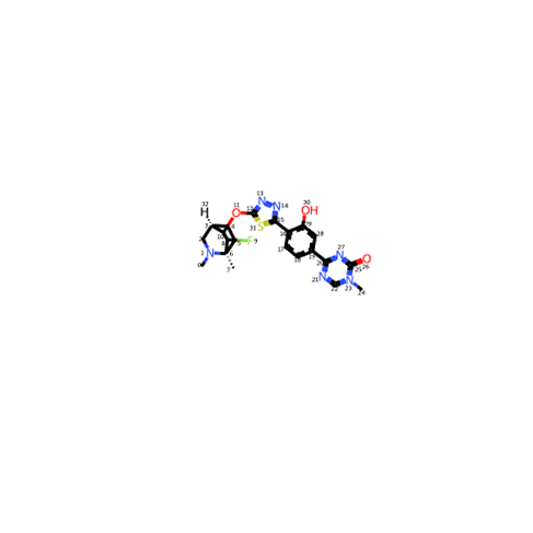 CN1C[C@H]2CC[C@]1(C)C(F)C2Oc1nnc(-c2ccc(-c3ncn(C)c(=O)n3)cc2O)s1